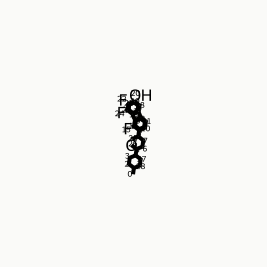 CC1CCC(C2CCC(c3ccc4c(c3F)-c3c-4cc(O)c(F)c3F)CO2)CC1